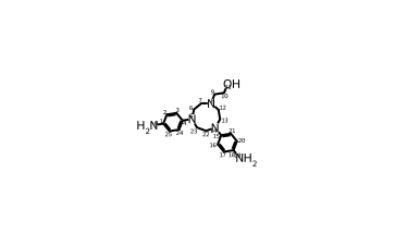 Nc1ccc(N2CCN(CCO)CCN(c3ccc(N)cc3)CC2)cc1